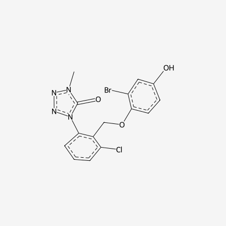 Cn1nnn(-c2cccc(Cl)c2COc2ccc(O)cc2Br)c1=O